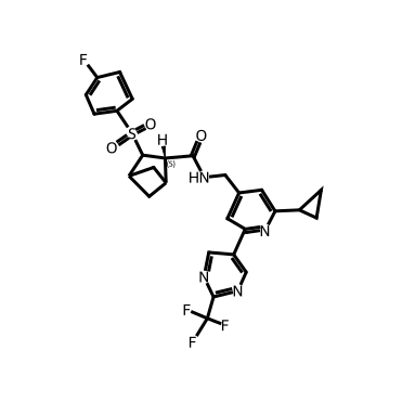 O=C(NCc1cc(-c2cnc(C(F)(F)F)nc2)nc(C2CC2)c1)[C@@H]1C2CC(C2)C1S(=O)(=O)c1ccc(F)cc1